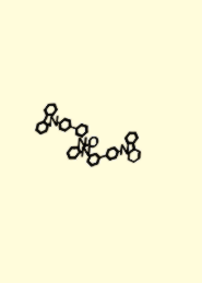 O=c1n(-c2cccc(-c3ccc(-n4c5c(c6ccccc64)C=CCC5)cc3)c2)c2ccccc2n1-c1cccc(-c2ccc(-n3c4ccccc4c4ccccc43)cc2)c1